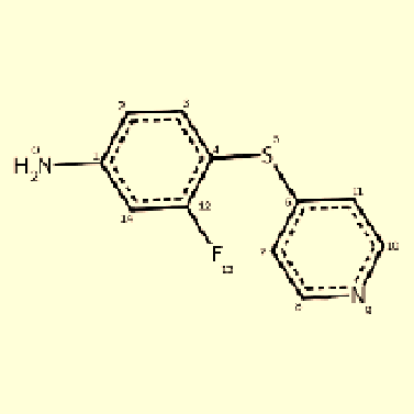 Nc1ccc(Sc2ccncc2)c(F)c1